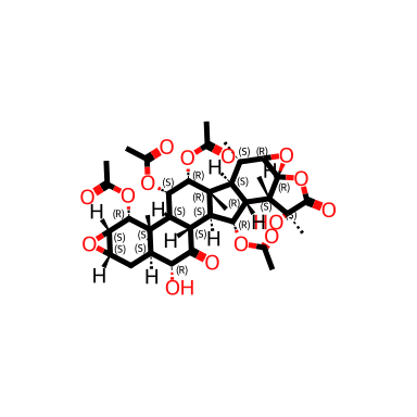 CC(=O)O[C@@H]1[C@H]2[C@@H]3C(=O)[C@H](O)[C@H]4C[C@@H]5O[C@@H]5[C@H](OC(C)=O)[C@]4(C)[C@H]3[C@H](OC(C)=O)[C@H](OC(C)=O)[C@]2(C)[C@H]2[C@H](C)[C@H]3O[C@]34OC(=O)[C@@](C)(O)[C@]4(C)[C@H]12